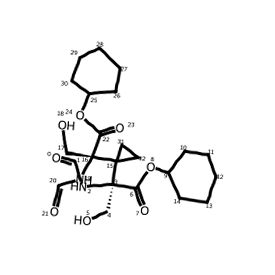 O=CN[C@](CO)(C(=O)OC1CCCCC1)C1([C@](CO)(NC=O)C(=O)OC2CCCCC2)CC1